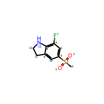 CS(=O)(=O)c1cc(F)c2c(c1)CCN2